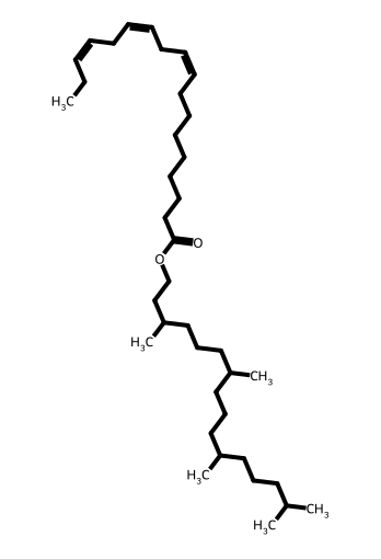 CC/C=C\C/C=C\C/C=C\CCCCCCCC(=O)OCCC(C)CCCC(C)CCCC(C)CCCC(C)C